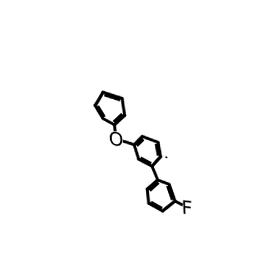 Fc1cccc(-c2[c]ccc(Oc3ccccc3)c2)c1